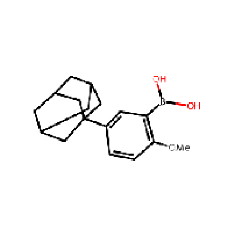 COc1ccc(C23CC4CC(CC(C4)C2)C3)cc1B(O)O